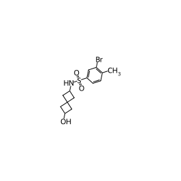 Cc1ccc(S(=O)(=O)NC2CC3(CC(O)C3)C2)cc1Br